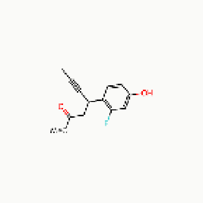 CC#CC(CC(=O)OC)c1ccc(O)cc1F